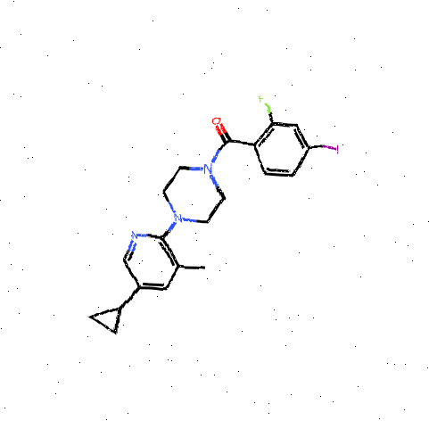 Cc1cc(C2CC2)cnc1N1CCN(C(=O)c2ccc(I)cc2F)CC1